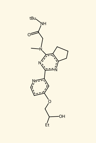 CCC(O)COc1ccnc(-c2nc3c(c(N(C)CC(=O)NC(C)(C)C)n2)CCC3)c1